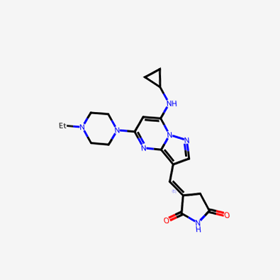 CCN1CCN(c2cc(NC3CC3)n3ncc(/C=C4\CC(=O)NC4=O)c3n2)CC1